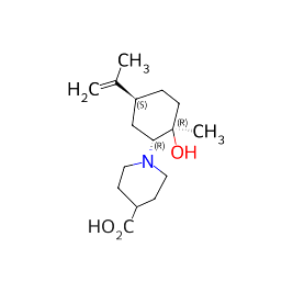 C=C(C)[C@H]1CC[C@@](C)(O)[C@H](N2CCC(C(=O)O)CC2)C1